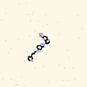 COc1ccc2nccc(-n3cc4c(n3)CCC(NC/C=C/c3cccnc3)C4)c2n1